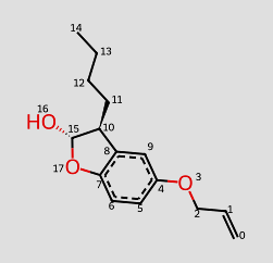 C=CCOc1ccc2c(c1)[C@H](CCCC)[C@@H](O)O2